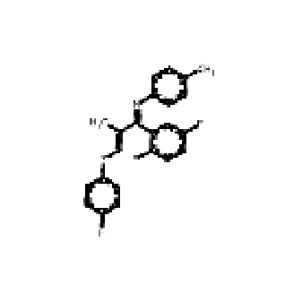 CC(=C\Sc1ccc(F)cc1)/C(=N/c1ccc(C)cc1)c1cc(F)ccc1F